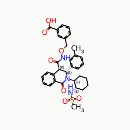 Cc1cccc([C@H]2[C@H](C(=O)NOCc3cccc(C(=O)O)c3)c3ccccc3C(=O)N2[C@H]2CCCC[C@@H]2NS(C)(=O)=O)c1